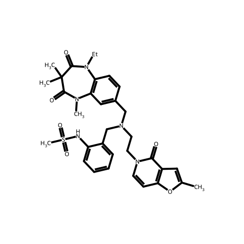 CCN1C(=O)C(C)(C)C(=O)N(C)c2cc(CN(CCn3ccc4oc(C)cc4c3=O)Cc3ccccc3NS(C)(=O)=O)ccc21